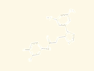 Cc1cc(C)cc(-n2ccnc2SCC(=O)Nc2ccc(Cl)c(Cl)c2)c1